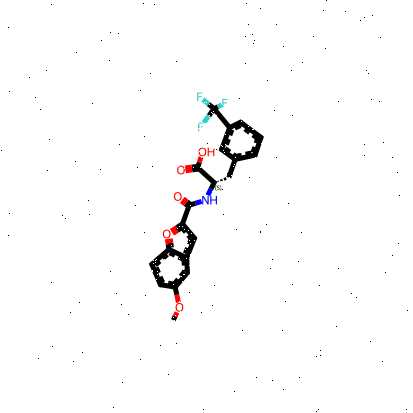 COc1ccc2oc(C(=O)N[C@@H](Cc3cccc(C(F)(F)F)c3)C(=O)O)cc2c1